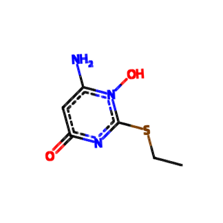 CCSc1nc(=O)cc(N)n1O